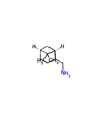 CC1(C)[C@H]2CCC(CN)[C@@H]1C2